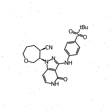 CC(C)(C)S(=O)(=O)c1ccc(Nc2nn([C@H]3COCCC[C@H]3C#N)c3cc[nH]c(=O)c23)cc1